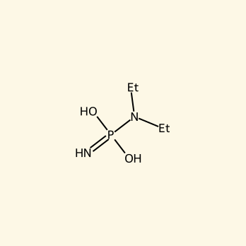 CCN(CC)P(=N)(O)O